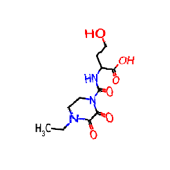 CCN1CCN(C(=O)NC(CCO)C(=O)O)C(=O)C1=O